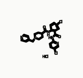 Cl.O=C(Nc1ccc(Cl)cn1)c1cc(Cl)ccc1NC(=O)C1CCN(Cc2ccncc2)CC1